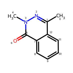 Cc1nn(C)c(=O)c2ccccc12